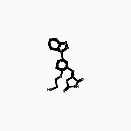 O=C1NC(=S)S/C1=C\c1cc(-n2nnc3ccccc32)ccc1OCCO